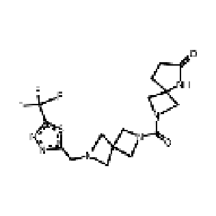 O=C1CCC2(CN(C(=O)N3CC4(CN(Cc5nnc(C(F)(F)F)s5)C4)C3)C2)N1